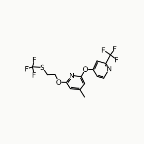 Cc1cc(OCCSC(F)(F)F)nc(Oc2ccnc(C(F)(F)F)c2)c1